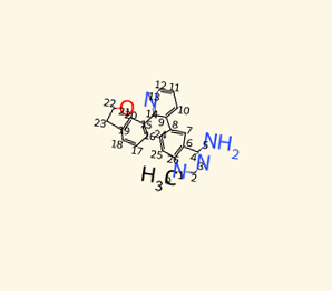 CN1CN=C(N)c2cc(-c3cccnc3-c3cccc4c3OCC4)ccc21